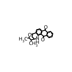 CC1OC2CC(Nc3c2ccc2c3C(=O)c3ccccc3C2=O)C1C